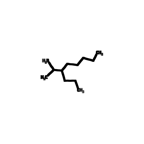 BC(C)C(CCC)CCCCC